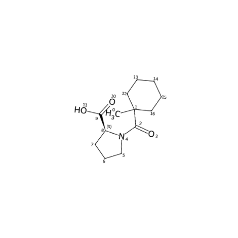 CC1(C(=O)N2CCC[C@H]2C(=O)O)CCCCC1